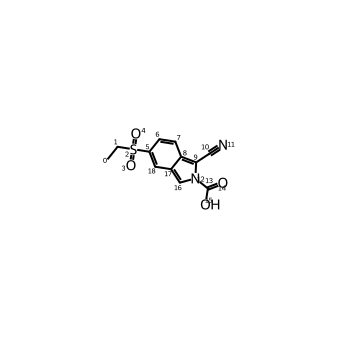 CCS(=O)(=O)c1ccc2c(C#N)n(C(=O)O)cc2c1